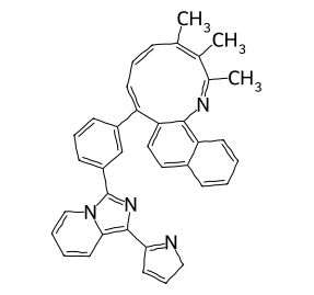 Cc1cccc(-c2cccc(-c3nc(C4=NCC=C4)c4ccccn34)c2)c2ccc3ccccc3c2nc(C)c1C